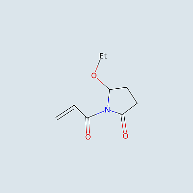 C=CC(=O)N1C(=O)CCC1OCC